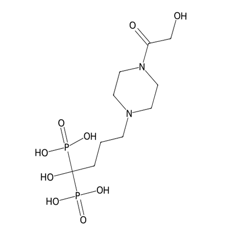 O=C(CO)N1CCN(CCCC(O)(P(=O)(O)O)P(=O)(O)O)CC1